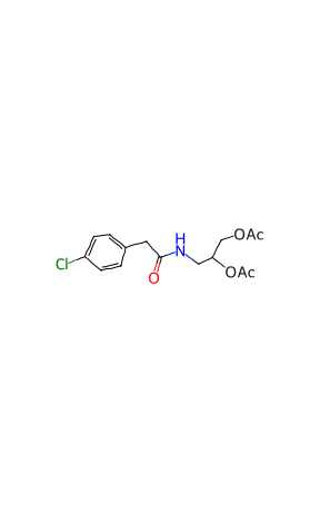 CC(=O)OCC(CNC(=O)Cc1ccc(Cl)cc1)OC(C)=O